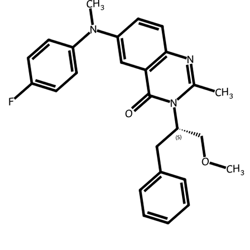 COC[C@H](Cc1ccccc1)n1c(C)nc2ccc(N(C)c3ccc(F)cc3)cc2c1=O